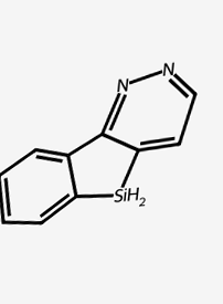 c1ccc2c(c1)[SiH2]c1ccnnc1-2